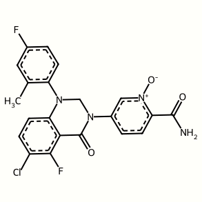 Cc1cc(F)ccc1N1CN(c2ccc(C(N)=O)[n+]([O-])c2)C(=O)c2c1ccc(Cl)c2F